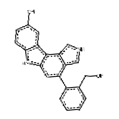 OCc1ccccc1-c1cc2[nH]c3ccc(O)cc3c2c2c[nH]cc12